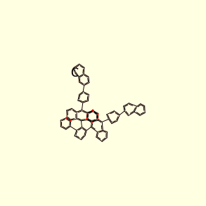 c1ccc(-c2cccc(-c3c4ccccc4c(-c4ccc(-c5ccc6ccccc6c5)cc4)c4ccccc34)c2-c2c3ccccc3c(-c3ccc(-c4ccc5ccccc5c4)cc3)c3ccccc23)cc1